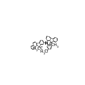 CC1(C)c2ccccc2-c2cccc(N(c3cccc(Cl)c3)c3ccc4c(c3)C(C)(C)c3c-4ccc4ccccc34)c21